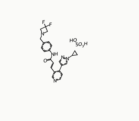 O=C(C=Cc1cnccc1-c1cnn(C2CC2)c1)Nc1ccc(CN2CC(F)(F)C2)cc1.O=S(=O)(O)O